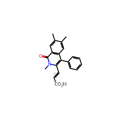 CCOC(=O)/C=C/c1c(-c2ccccc2)c2cc(C)c(C)cc2c(=O)n1C